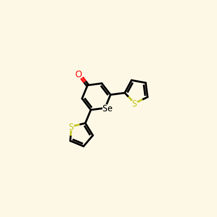 O=c1cc(-c2cccs2)[se]c(-c2cccs2)c1